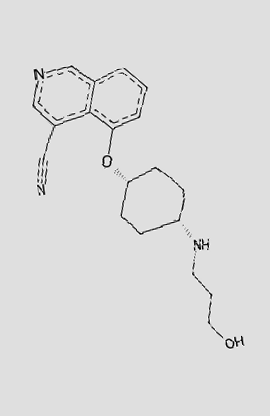 N#Cc1cncc2cccc(O[C@H]3CC[C@@H](NCCCO)CC3)c12